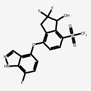 O=S(=O)(c1ccc(Oc2ccc(F)c3[nH]ncc23)c2c1C(O)C(F)(F)C2)C(F)(F)F